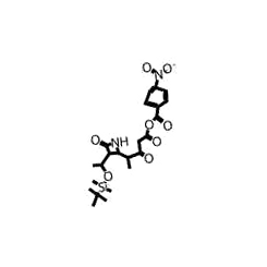 CC(O[Si](C)(C)C(C)(C)C)C1C(=O)NC1C(C)C(=O)CC(=O)OC(=O)c1ccc([N+](=O)[O-])cc1